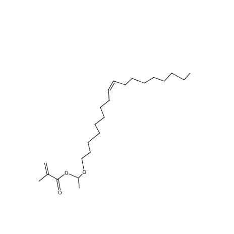 C=C(C)C(=O)OC(C)OCCCCCCCC/C=C\CCCCCCCC